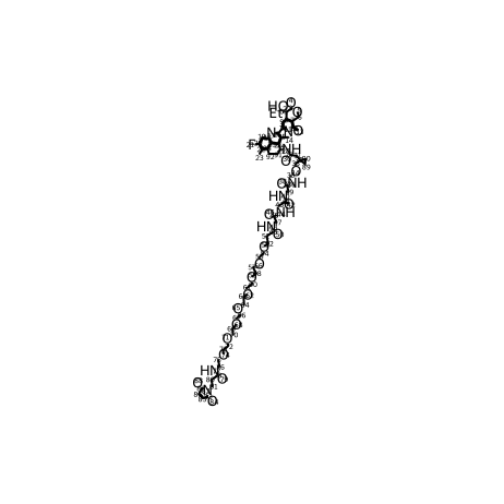 CC[C@@]1(O)C(=O)OCc2c1cc1n(c2=O)Cc2c-1nc1cc(F)c(C)c3c1c2[C@@H](NC(=O)CC1(COCNC(=O)CNC(=O)CNC(=O)CNC(=O)CCOCCOCCOCCOCCOCCOCCOCCOCCNC(=O)CCN2C(=O)C=CC2=O)CC1)CC3